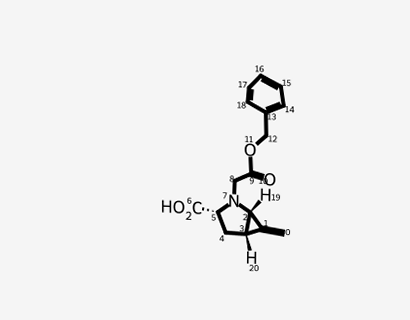 C=C1[C@@H]2[C@H]1C[C@H](C(=O)O)N2CC(=O)OCc1ccccc1